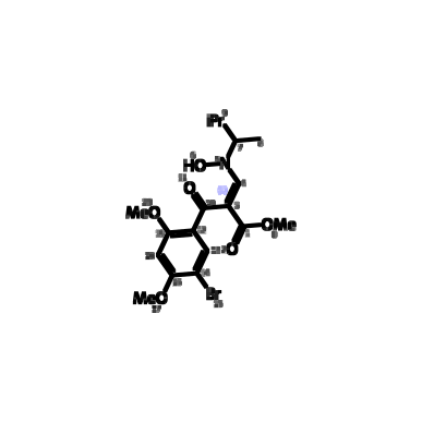 COC(=O)/C(=C/N(O)C(C)C(C)C)C(=O)c1cc(Br)c(OC)cc1OC